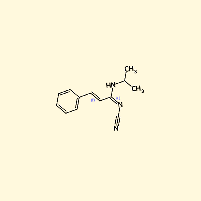 CC(C)NC(/C=C/c1ccccc1)=N/C#N